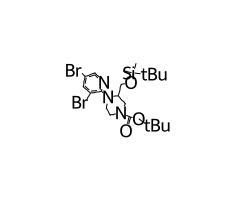 CC(C)(C)OC(=O)N1CCN(c2ncc(Br)cc2Br)C(CO[Si](C)(C)C(C)(C)C)C1